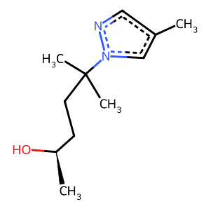 Cc1cnn(C(C)(C)CC[C@@H](C)O)c1